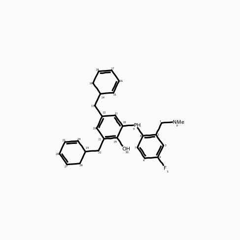 CNCc1cc(F)ccc1Pc1cc(CC2C=CC=CC2)cc(CC2C=CC=CC2)c1O